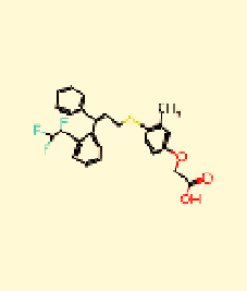 Cc1cc(OCC(=O)O)ccc1SCC=C(c1ccccc1)c1ccccc1C(F)C(F)F